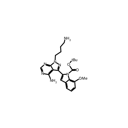 COc1cccc2cc(-c3nn(CCCCN)c4ncnc(N)c34)n(C(=O)OC(C)(C)C)c12